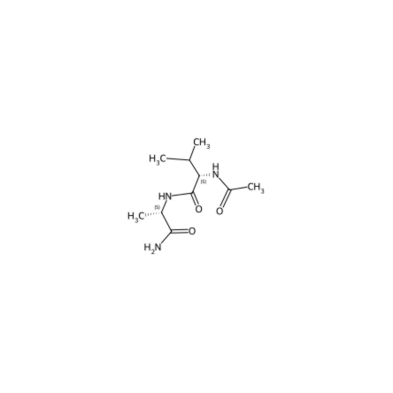 CC(=O)N[C@H](C(=O)N[C@@H](C)C(N)=O)C(C)C